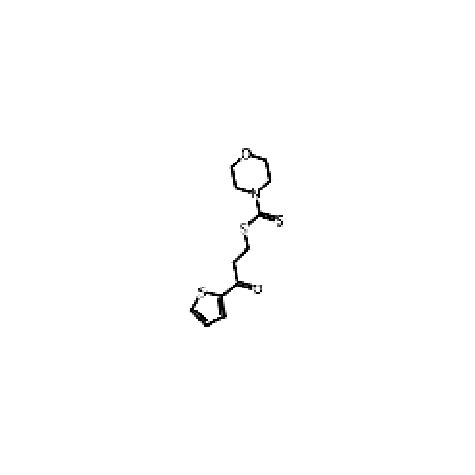 O=C(CCSC(=S)N1CCOCC1)c1cccs1